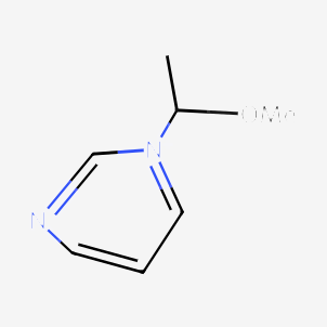 COC(C)[n+]1cccnc1